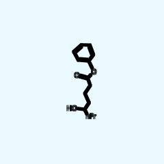 CCCC(O)CCCC(=O)Oc1ccccc1